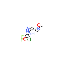 C=CC(=O)N1CCCC(c2ccc3ncnc(Nc4ccc(OC(F)F)c(Cl)c4)c3c2)C1